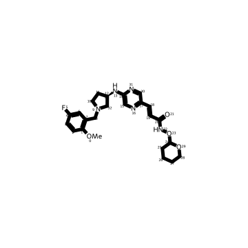 COc1ccc(F)cc1CN1CC[C@@H](Nc2cnc(C=CC(=O)NOC3CCCCO3)cn2)C1